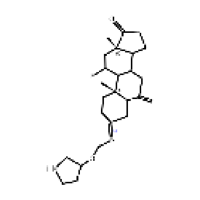 C=C1CC2C(C(F)C[C@]3(C)C(=O)CCC23)[C@@]2(C)CC/C(=N\COC3CCNC3)CC12